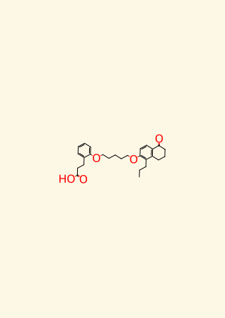 CCCc1c(OCCCCCOc2ccccc2CCC(=O)O)ccc2c1CCCC2=O